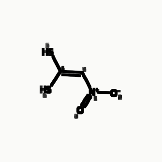 O=[N+]([O-])C=C(S)S